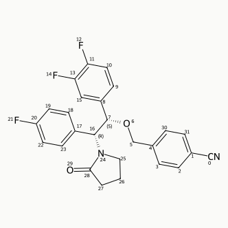 N#Cc1ccc(CO[C@@H](c2ccc(F)c(F)c2)[C@@H](c2ccc(F)cc2)N2CCCC2=O)cc1